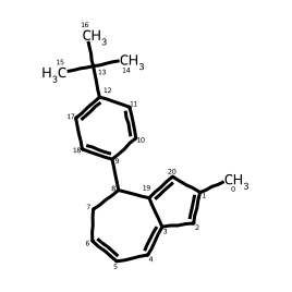 CC1=CC2=CC=CCC(c3ccc(C(C)(C)C)cc3)C2=C1